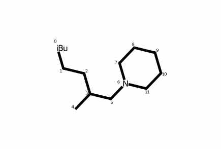 CCC(C)CCC(C)CN1CCCCC1